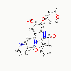 CC[C@@H](Oc1nc(-c2ccc(OC3CCOCC3)c(O)c2)cc2ncccc12)[C@H]1CNC(=O)C1